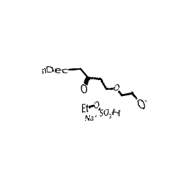 CCCCCCCCCCCC(=O)CCOCC[O-].CCOS(=O)(=O)O.[Na+]